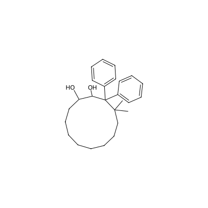 CC1(C)CCCCCCCCC(O)C(O)C1(c1ccccc1)c1ccccc1